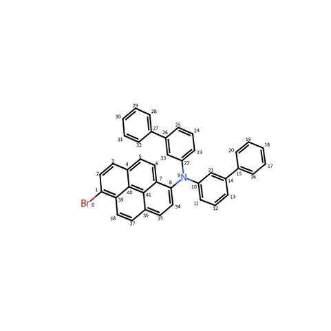 Brc1ccc2ccc3c(N(c4cccc(-c5ccccc5)c4)c4cccc(-c5ccccc5)c4)ccc4ccc1c2c43